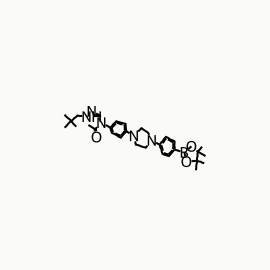 CC(=O)N(/C=N\NCC(C)(C)C)c1ccc(N2CCN(c3ccc(B4OC(C)(C)C(C)(C)O4)cc3)CC2)cc1